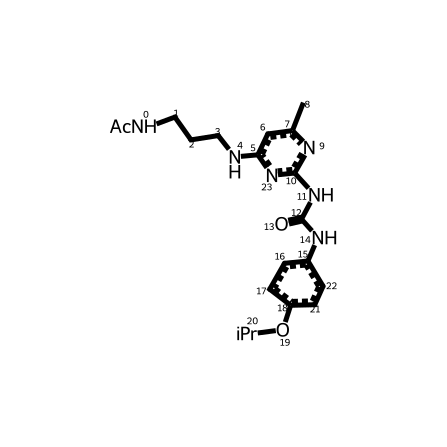 CC(=O)NCCCNc1cc(C)nc(NC(=O)Nc2ccc(OC(C)C)cc2)n1